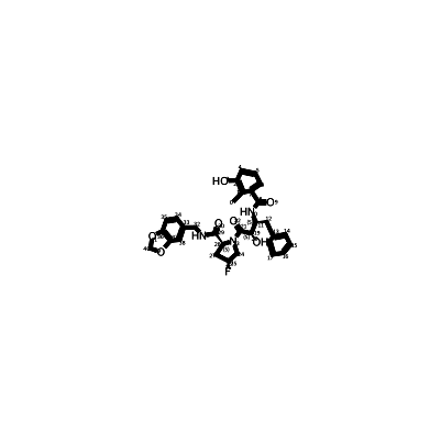 Cc1c(O)cccc1C(=O)N[C@@H](Cc1ccccc1)[C@H](O)C(=O)N1C[C@@H](F)C[C@H]1C(=O)NCc1ccc2c(c1)OCO2